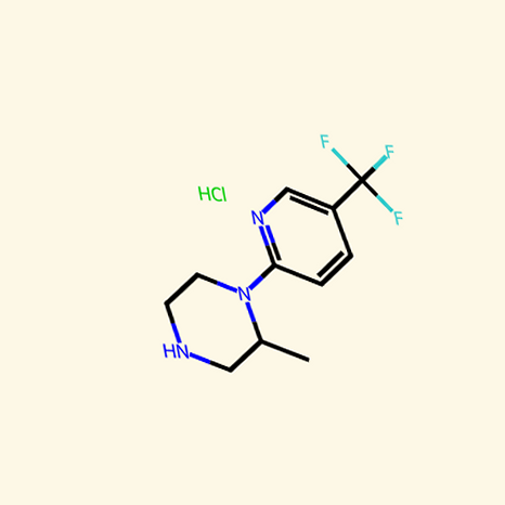 CC1CNCCN1c1ccc(C(F)(F)F)cn1.Cl